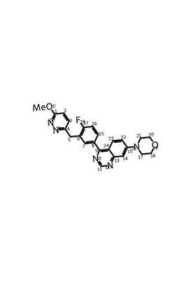 COc1ccc(Cc2cc(-c3ncnc4cc(N5CCOCC5)ccc34)ccc2F)nn1